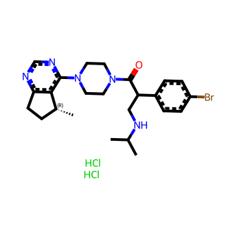 CC(C)NCC(C(=O)N1CCN(c2ncnc3c2[C@H](C)CC3)CC1)c1ccc(Br)cc1.Cl.Cl